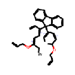 C=CCO/C(=C/C=C(\C=C)C1(C(/C=C\C(C)OCC=C)=C/C)c2ccccc2-c2ccccc21)CC(C)C